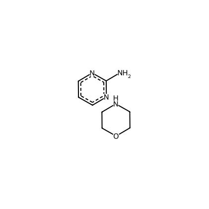 C1COCCN1.Nc1ncccn1